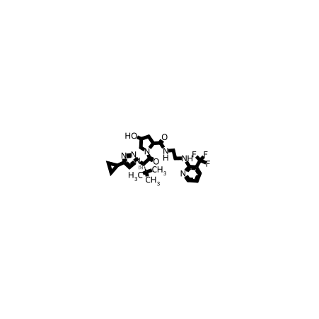 CC(C)(C)[C@@H](C(=O)N1CC(O)CC1C(=O)NCCNc1ncccc1C(F)(F)F)n1cc(C2CC2)nn1